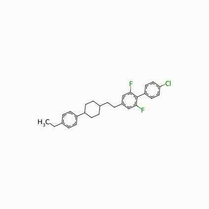 CCc1ccc(C2CCC(CCc3cc(F)c(-c4ccc(Cl)cc4)c(F)c3)CC2)cc1